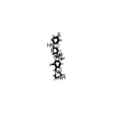 Cc1cc(N(C)S(=O)(=O)c2ccc(Nc3ccc(F)cc3)nc2)ccc1CN1CCN[C@@H](C)C1